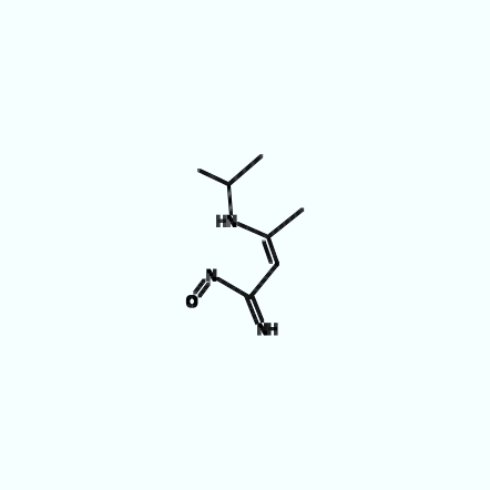 C/C(=C/C(=N)N=O)NC(C)C